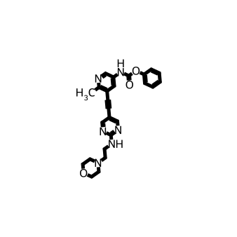 Cc1ncc(NC(=O)Oc2ccccc2)cc1C#Cc1cnc(NCCN2CCOCC2)nc1